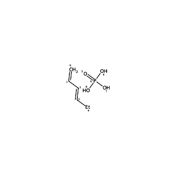 C=CC=CCC.O=P(O)(O)O